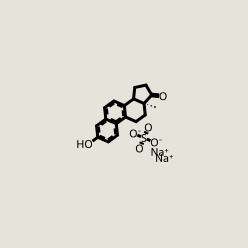 C[C@]12CCc3c(ccc4cc(O)ccc34)C1CCC2=O.O=S(=O)([O-])[O-].[Na+].[Na+]